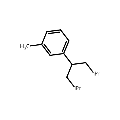 Cc1cccc(C(CC(C)C)CC(C)C)c1